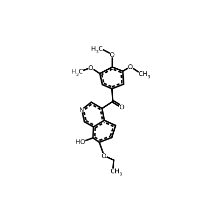 CCOc1ccc2c(C(=O)c3cc(OC)c(OC)c(OC)c3)cncc2c1O